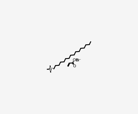 C=CC(=O)O.CCCCCCCCCCCCCCCC[N+](C)(C)C.[Br-]